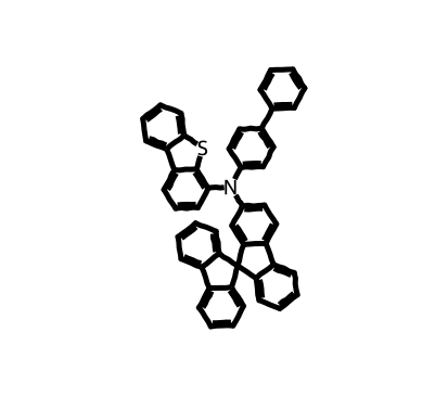 c1ccc(-c2ccc(N(c3ccc4c(c3)C3(c5ccccc5-c5ccccc53)c3ccccc3-4)c3cccc4c3sc3ccccc34)cc2)cc1